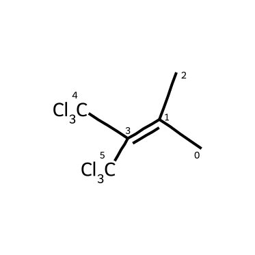 CC(C)=C(C(Cl)(Cl)Cl)C(Cl)(Cl)Cl